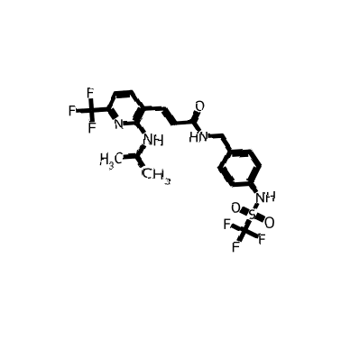 CC(C)Nc1nc(C(F)(F)F)ccc1C=CC(=O)NCc1ccc(NS(=O)(=O)C(F)(F)F)cc1